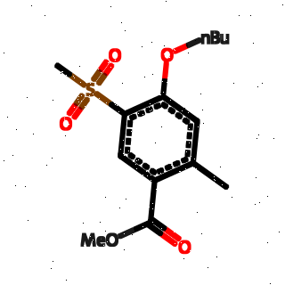 CCCCOc1cc(C)c(C(=O)OC)cc1S(C)(=O)=O